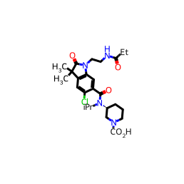 CCC(=O)NCCN1C(=O)C(C)(C)c2cc(Cl)c(C(=O)N(C(C)C)[C@@H]3CCCN(C(=O)O)C3)cc21